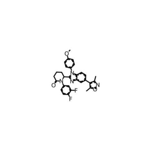 COc1ccc(-n2c(C3CCCC(=O)N3c3ccc(F)c(F)c3)nc3cc(-c4c(C)noc4C)ccc32)cc1